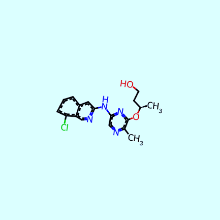 Cc1ncc(Nc2cc3cccc(Cl)c3cn2)nc1O[C@H](C)CCO